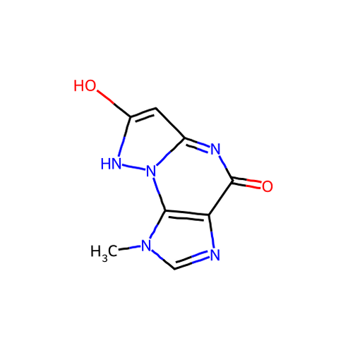 Cn1cnc2c(=O)nc3cc(O)[nH]n3c21